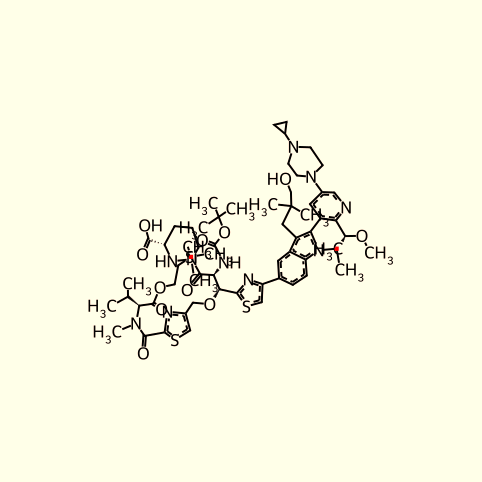 CCn1c(-c2cc(N3CCN(C4CC4)CC3)cnc2[C@H](C)OC)c(CC(C)(C)CO)c2cc(-c3csc([C@@H](OCc4csc(C(=O)N(C)[C@H](C(=O)OCC[Si](C)(C)C)C(C)C)n4)[C@H](NC(=O)OC(C)(C)C)C(=O)N4CCC[C@@H](C(=O)O)N4)n3)ccc21